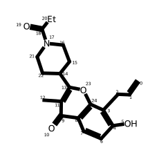 C=CCc1c(O)ccc2c(=O)c(C)c(C3CCN(C(=O)CC)CC3)oc12